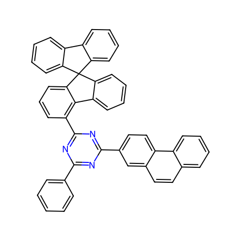 c1ccc(-c2nc(-c3ccc4c(ccc5ccccc54)c3)nc(-c3cccc4c3-c3ccccc3C43c4ccccc4-c4ccccc43)n2)cc1